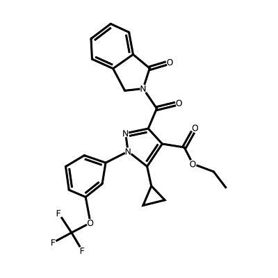 CCOC(=O)c1c(C(=O)N2Cc3ccccc3C2=O)nn(-c2cccc(OC(F)(F)F)c2)c1C1CC1